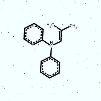 CC(C)=C[SH](c1ccccc1)c1ccccc1